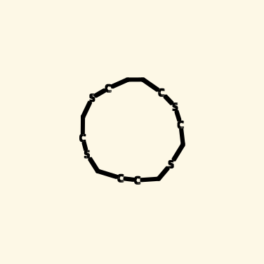 C1CCSCCSCCCCSCCSC1